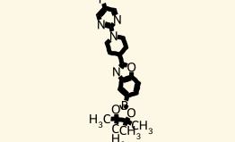 CC1(C)OB(c2ccc3oc(C4CCN(c5ncc(F)cn5)CC4)nc3c2)OC1(C)C